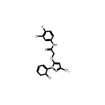 O=C(COc1cc(C(F)(F)F)nn1C1=CC=CCC1Cl)Nc1ccc(F)c(Cl)c1